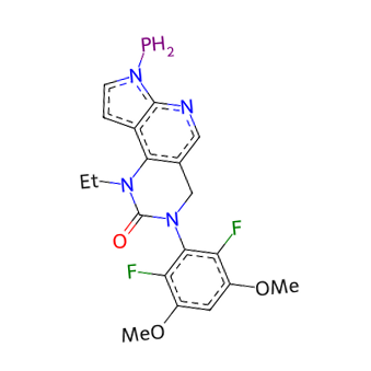 CCN1C(=O)N(c2c(F)c(OC)cc(OC)c2F)Cc2cnc3c(ccn3P)c21